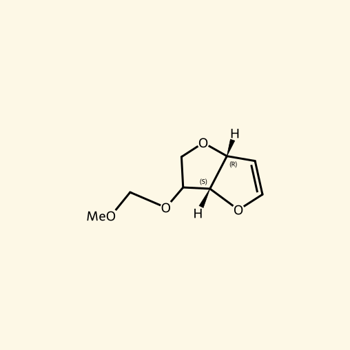 COCOC1CO[C@@H]2C=CO[C@H]12